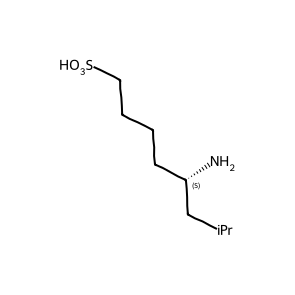 CC(C)C[C@@H](N)CCCCS(=O)(=O)O